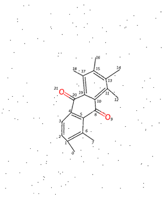 Cc1ccc2c(c1C)C(=O)c1c(C)c(C)c(C)c(C)c1C2=O